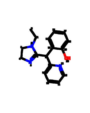 CCN1CCN=C1C(c1ccccn1)c1ccccc1O